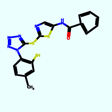 Cc1ccc(-n2nnnc2Sc2ncc(NC(=O)c3ccccc3)s2)c(S)c1